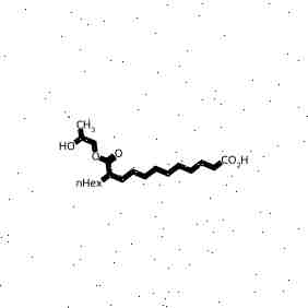 CCCCCCC(CCCCCCCCCC(=O)O)C(=O)OCC(C)O